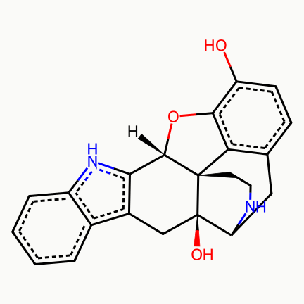 Oc1ccc2c3c1O[C@H]1c4[nH]c5ccccc5c4C[C@@]4(O)C(C2)NCC[C@]314